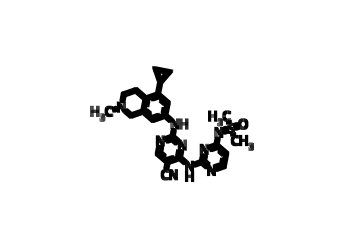 CN1CCc2c(cc(Nc3ncc(C#N)c(Nc4nccc(N=S(C)(C)=O)n4)n3)cc2C2CC2)C1